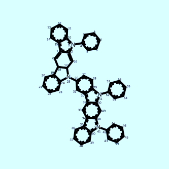 C1=c2c(n(-c3ccccc3)c3ccccc23)=CC2C1c1ccccc1N2c1ccc2c(c1)c1cc3c4ccccc4n(-c4ccccc4)c3cc1n2-c1ccccc1